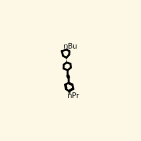 CCCC[C@H]1CC[C@H](C2CCC(C#Cc3ccc(CCC)cc3)CC2)CC1